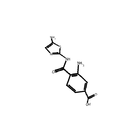 Nc1cnc(NC(=O)c2ccc(C(=O)O)cc2N)s1